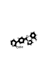 COc1ncccc1-c1ccc(C(=O)N2CCC[C@@H]2c2ccccc2F)cc1